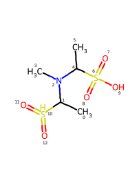 CC(N(C)C(C)S(=O)(=O)O)[SH](=O)=O